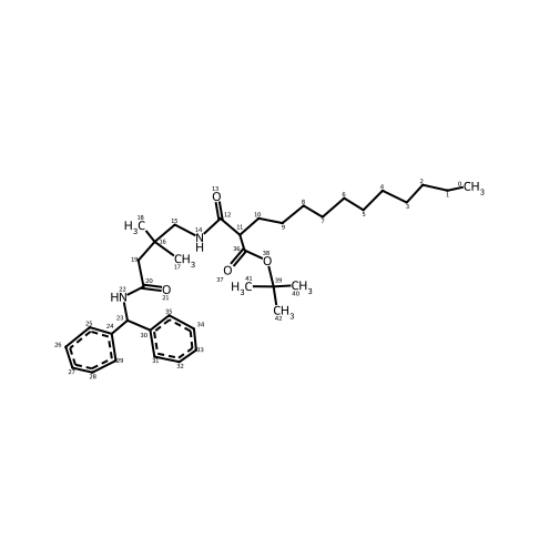 CCCCCCCCCCCC(C(=O)NCC(C)(C)CC(=O)NC(c1ccccc1)c1ccccc1)C(=O)OC(C)(C)C